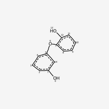 Oc1cccc(Oc2ccccc2O)c1